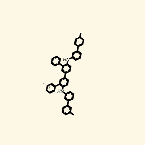 Cc1cccc(-c2cccc(Nc3ccc(-c4ccc(Nc5cccc(C6=CCC(C)C=C6)c5)c(-c5ccccc5)c4)cc3C3=C[C@@H](C)CC=C3)c2)c1